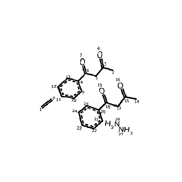 C=C.CC(=O)CC(=O)c1ccccc1.CC(=O)CC(=O)c1ccccc1.N.N